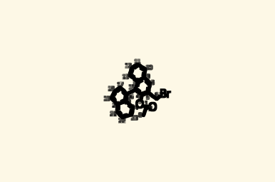 CC(=O)Oc1c(CBr)cc2ccccc2c1-c1cccc2ccccc12